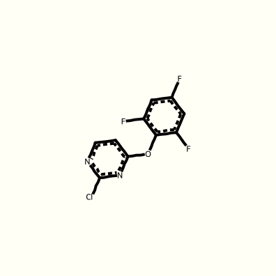 Fc1cc(F)c(Oc2ccnc(Cl)n2)c(F)c1